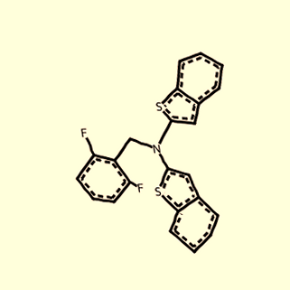 Fc1cccc(F)c1CN(c1cc2ccccc2s1)c1cc2ccccc2s1